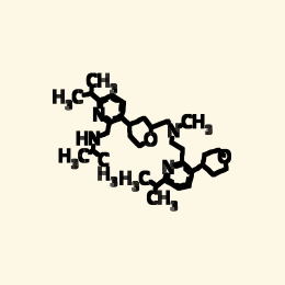 CC(C)NCc1nc(C(C)C)ccc1C1CCOC(CN(C)CCc2nc(C(C)C)ccc2C2CCOCC2)C1